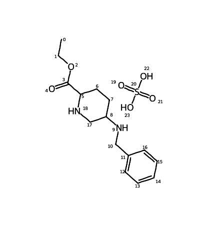 CCOC(=O)C1CCC(NCc2ccccc2)CN1.O=S(=O)(O)O